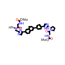 CCCN(Cc1ncc(-c2ccc3cc(-c4ccc(-c5cnc([C@@H]6CCCN6C(=O)CNC(=O)OC)[nH]5)cc4)ccc3c2)[nH]1)C(=O)CNC(=O)OC